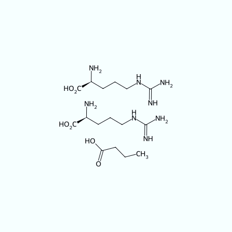 CCCC(=O)O.N=C(N)NCCC[C@H](N)C(=O)O.N=C(N)NCCC[C@H](N)C(=O)O